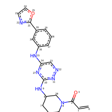 C=CC(=O)N1CCCC(Nc2nncc(Nc3cccc(-c4ncco4)c3)n2)C1